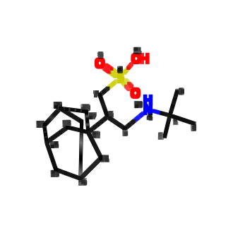 CC(C)(C)NCC(CS(=O)(=O)O)C12CC3CC(CC(C3)C1)C2